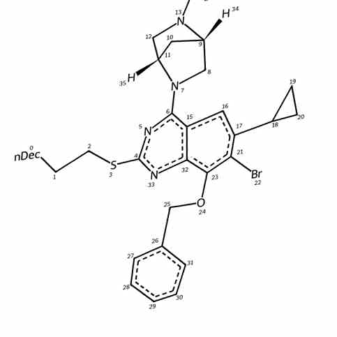 CCCCCCCCCCCCSc1nc(N2C[C@@H]3C[C@H]2CN3C(=O)O)c2cc(C3CC3)c(Br)c(OCc3ccccc3)c2n1